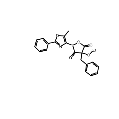 CCOC1(Cc2ccccc2)C(=O)ON(c2nc(-c3ccccc3)oc2C)C1=O